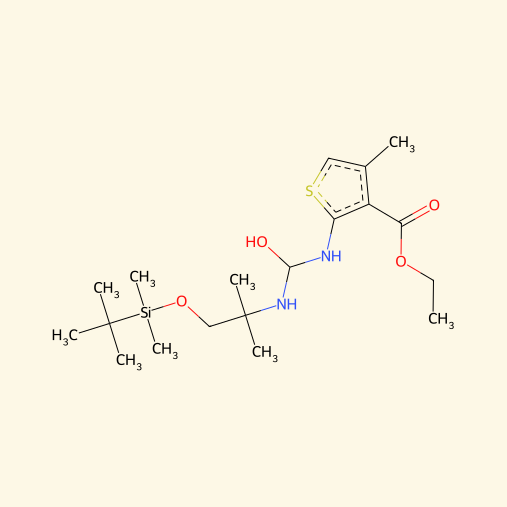 CCOC(=O)c1c(C)csc1NC(O)NC(C)(C)CO[Si](C)(C)C(C)(C)C